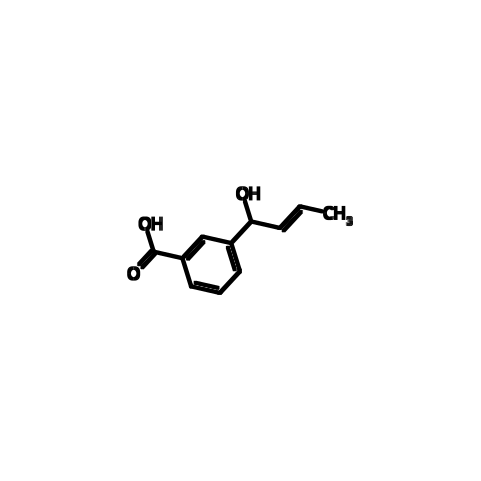 CC=CC(O)c1cccc(C(=O)O)c1